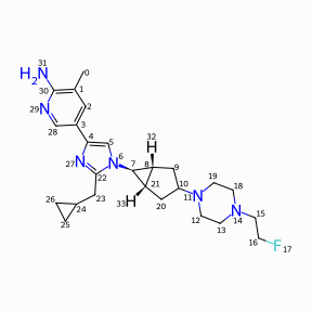 Cc1cc(-c2cn([C@H]3[C@@H]4CC(N5CCN(CCF)CC5)C[C@@H]43)c(CC3CC3)n2)cnc1N